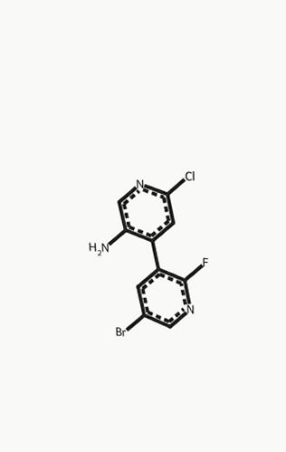 Nc1cnc(Cl)cc1-c1cc(Br)cnc1F